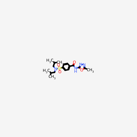 Cc1nnc(NC(=O)c2ccc(S(=O)(=O)N(CC(C)C)CC(C)C)cc2)o1